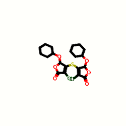 O=C1OC(OC2CCCCC2)C(SC2=C(Cl)C(=O)OC2OC2CCCCC2)=C1Cl